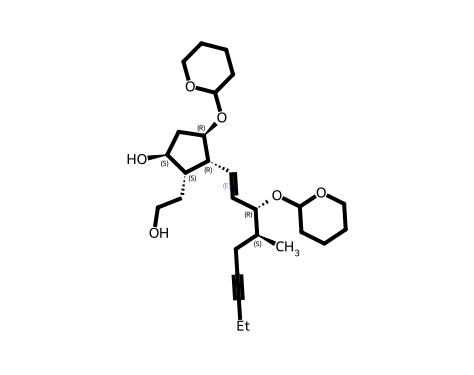 CCC#CC[C@H](C)[C@H](/C=C/[C@@H]1[C@H](CCO)[C@@H](O)C[C@H]1OC1CCCCO1)OC1CCCCO1